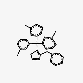 Cc1cccc(C(C2=C(Cc3ccccc3)C=CC2)(c2cccc(C)c2)c2cccc(C)c2)c1